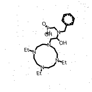 CCN1CCN(CC)CCN(CC(O)N(Cc2ccccc2)C[PH](=O)O)CCN(CC)CC1